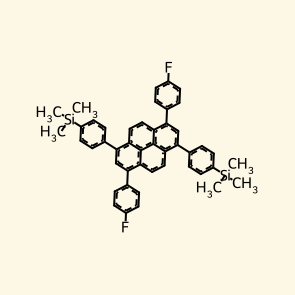 C[Si](C)(C)c1ccc(-c2cc(-c3ccc(F)cc3)c3ccc4c(-c5ccc([Si](C)(C)C)cc5)cc(-c5ccc(F)cc5)c5ccc2c3c54)cc1